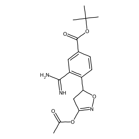 CC(=O)OC1=NOC(c2ccc(C(=O)OC(C)(C)C)cc2C(=N)N)C1